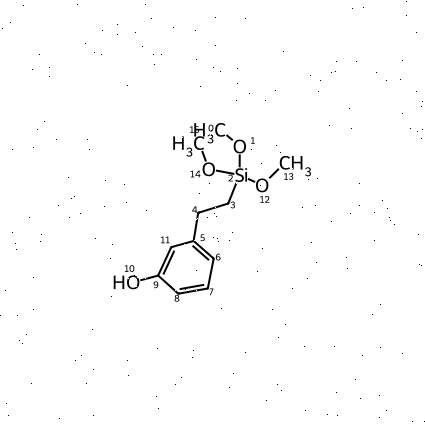 CO[Si](CCc1cccc(O)c1)(OC)OC